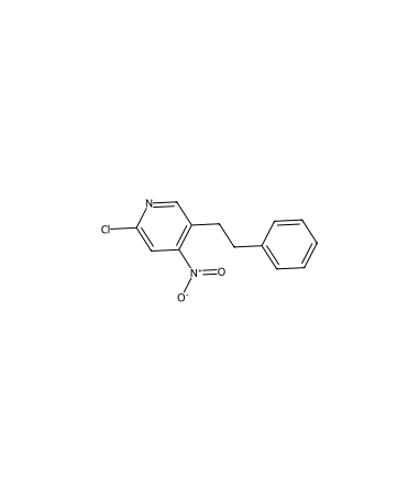 O=[N+]([O-])c1cc(Cl)ncc1CCc1ccccc1